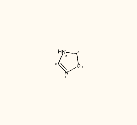 [C]1=NOCN1